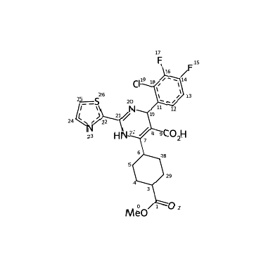 COC(=O)C1CCC(C2=C(C(=O)O)C(c3ccc(F)c(F)c3Cl)N=C(c3nccs3)N2)CC1